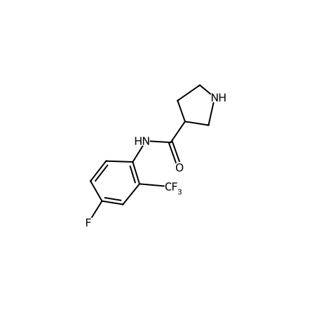 O=C(Nc1ccc(F)cc1C(F)(F)F)C1CCNC1